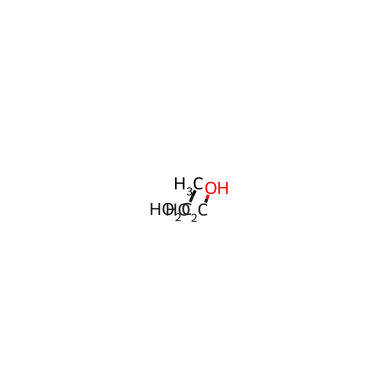 CC(=O)O.O=C(O)O